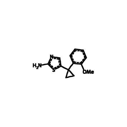 COc1ccccc1C1(c2cnc(N)s2)CC1